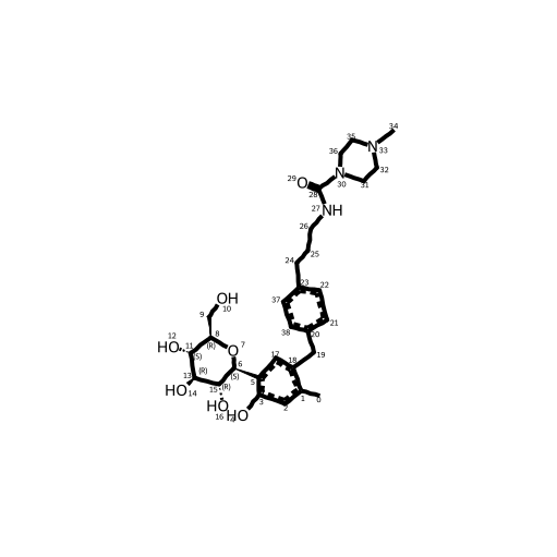 Cc1cc(O)c([C@@H]2O[C@H](CO)[C@@H](O)[C@H](O)[C@H]2O)cc1Cc1ccc(CCCNC(=O)N2CCN(C)CC2)cc1